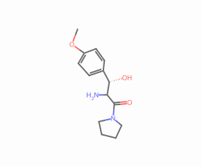 COc1ccc([C@H](O)C(N)C(=O)N2CCCC2)cc1